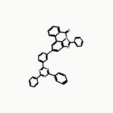 O=c1c2ccccc2c2cc(-c3cccc(-c4nc(-c5ccccc5)nc(-c5ccccc5)n4)c3)cc3nc(-c4ccccc4)n1c32